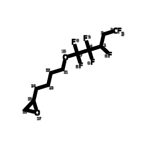 FC(CC(F)(F)F)C(F)(F)C(F)(F)OCCCCC1CO1